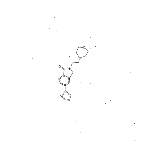 O=C1c2ccc(-c3cccs3)cc2CN1CCN1CCOCC1